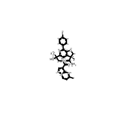 Cc1ccn2ncc(C(=O)NCC(O)(c3cc4c(c(-c5ccc(F)cc5)n3)OC[C@]4(C)C(N)=O)C(F)(F)F)c2n1